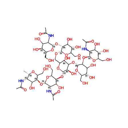 CC(=O)NC1C(O)[C@H](O)[C@H](CO)O[C@H]1O[C@@H]1C(O)[C@H](O)C(CO)O[C@@H]1OCC1O[C@@H](O[C@@H]2C(CO)O[C@@H](O[C@@H]3C(CO)O[C@@H](C)[C@@H](NC(C)=O)C3O)[C@@H](NC(C)=O)C2O)[C@H](O)C(O[C@H]2OC(CO)[C@@H](O)C(O)C2O[C@@H]2OC(CO)[C@@H](O)C(O)[C@@H]2NC(C)=O)[C@@H]1O